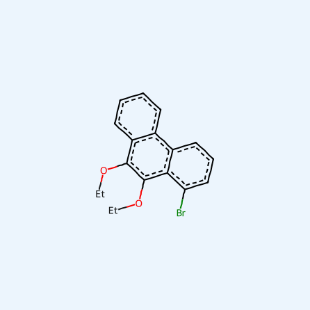 CCOc1c(OCC)c2c(Br)cccc2c2ccccc12